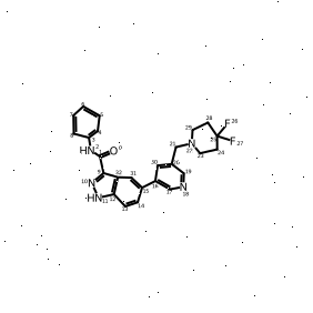 O=C(Nc1ccccc1)c1n[nH]c2ccc(-c3cncc(CN4CCC(F)(F)CC4)c3)cc12